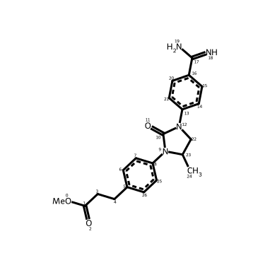 COC(=O)CCc1ccc(N2C(=O)N(c3ccc(C(=N)N)cc3)CC2C)cc1